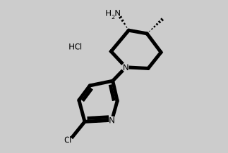 C[C@@H]1CCN(c2ccc(Cl)nc2)C[C@@H]1N.Cl